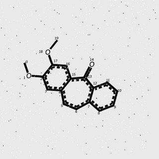 COc1cc2ccc3ccccc3c(=O)c2cc1OC